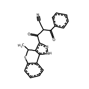 CC1Sc2ccccc2-c2[nH]nc(C(=O)C(C#N)C(=O)c3ccccc3)c21